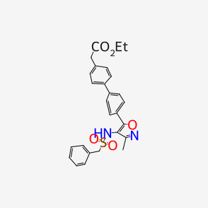 CCOC(=O)Cc1ccc(-c2ccc(-c3onc(C)c3NS(=O)(=O)Cc3ccccc3)cc2)cc1